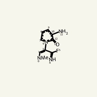 CN/C=C(\C(=N)F)n1cccc(N)c1=O